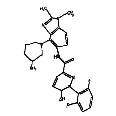 Cc1nc2c(N3CCC[C@@H](N)C3)c(NC(=O)C3=NN(c4c(F)cccc4F)C(O)C=C3)ccc2n1C